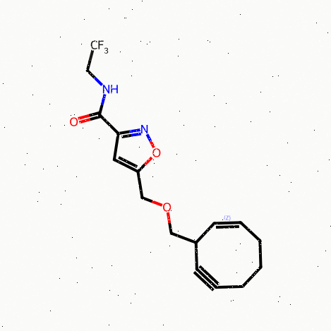 O=C(NCC(F)(F)F)c1cc(COCC2C#CCCC/C=C\2)on1